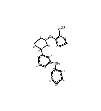 CCOc1ccccc1O[C@@H]1CCCN(c2cncc(Nc3ccccn3)n2)C1